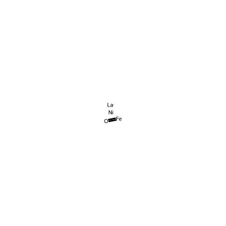 [La].[Ni].[O]=[Fe]